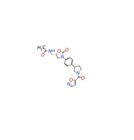 CC(=O)NC[C@H]1CN(c2ccc(C3CCN(C(=O)c4ccno4)C3)cc2)C(=O)O1